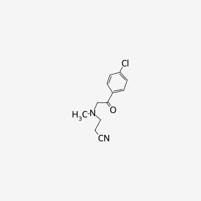 CN(CCC#N)CC(=O)c1ccc(Cl)cc1